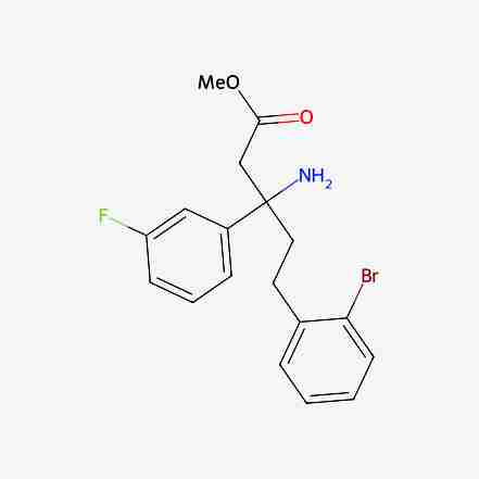 COC(=O)CC(N)(CCc1ccccc1Br)c1cccc(F)c1